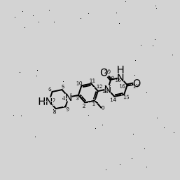 Cc1cc(N2CCNCC2)ccc1-n1ccc(=O)[nH]c1=O